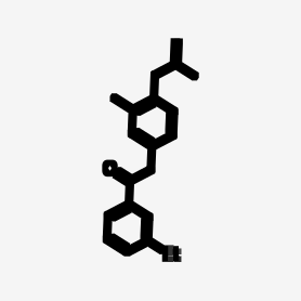 C=C(C)Cc1ccc(CC(=O)c2cccc(CC)c2)cc1C